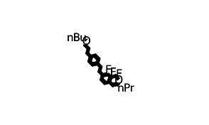 CCCCOCCCc1ccc(CCc2ccc3c(c2F)C(F)(F)OC(CCC)=C3)cc1